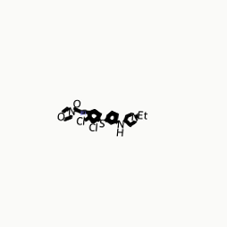 CCN1CCC(Nc2cccc(Sc3ccc(/C=C/C(=O)N4CCOCC4)c(Cl)c3Cl)c2)CC1